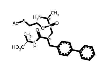 CC(=O)SCCOP(=O)(C[C@@H](Cc1ccc(-c2ccccc2)cc1)C(=O)N[C@@H](C)C(=O)O)[C@H](C)N